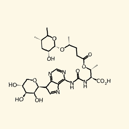 CC1O[C@H](O[C@H](C)CCC(=O)O[C@H](C)[C@H](NC(=O)Nc2ncnc3c2N=CC3[C@@H]2OC[C@@H](O)[C@H](O)C2O)C(=O)O)[C@H](O)C[C@@H]1C